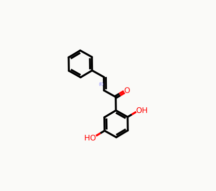 O=C(/C=C/c1ccccc1)c1cc(O)ccc1O